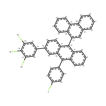 Fc1ccc(-c2c3ccccc3c(-c3cc4ccccc4c4ccccc34)c3ccc(-c4cc(F)c(F)c(F)c4)cc23)cc1